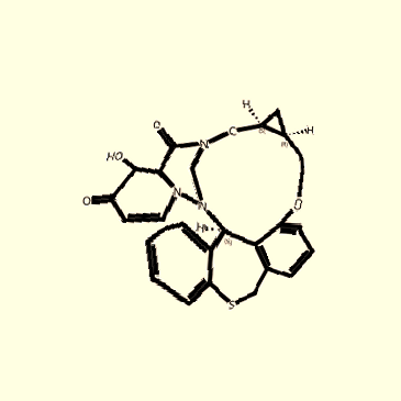 O=C1C=CN2C(C(=O)N3C[C@H]4C[C@H]4COc4cccc5c4[C@@H](c4ccccc4SC5)N2C3)C1O